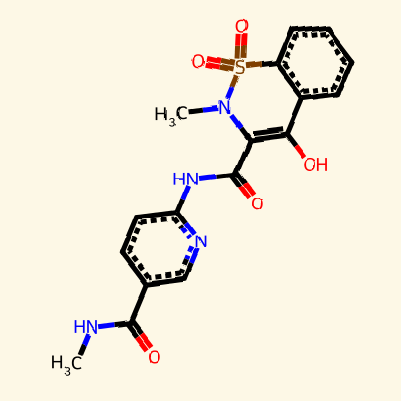 CNC(=O)c1ccc(NC(=O)C2=C(O)c3ccccc3S(=O)(=O)N2C)nc1